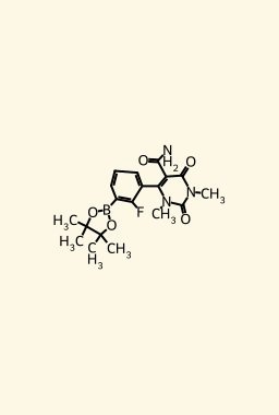 Cn1c(-c2cccc(B3OC(C)(C)C(C)(C)O3)c2F)c(C(N)=O)c(=O)n(C)c1=O